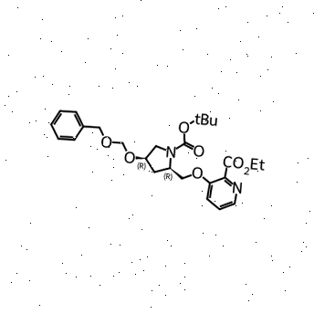 CCOC(=O)c1ncccc1OC[C@H]1C[C@@H](OCOCc2ccccc2)CN1C(=O)OC(C)(C)C